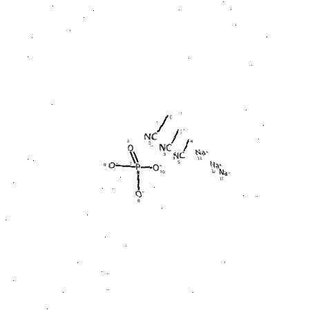 CC#N.CC#N.CC#N.O=P([O-])([O-])[O-].[Na+].[Na+].[Na+]